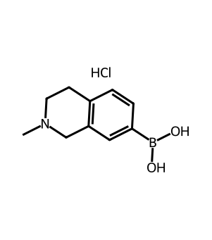 CN1CCc2ccc(B(O)O)cc2C1.Cl